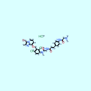 Cc1nc2c(OCc3c(Cl)ccc(N(C)C(=O)CNC(=O)/C=C/c4ccc(NC(=O)CN(C)C)cc4)c3Cl)cccn2c1Br.Cl